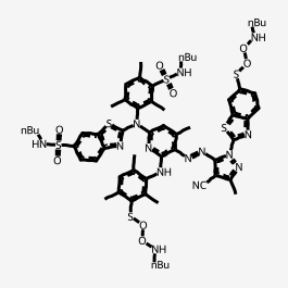 CCCCNOOSc1ccc2nc(-n3nc(C)c(C#N)c3N=Nc3c(C)cc(N(c4nc5ccc(S(=O)(=O)NCCCC)cc5s4)c4c(C)cc(C)c(S(=O)(=O)NCCCC)c4C)nc3Nc3c(C)cc(C)c(SOONCCCC)c3C)sc2c1